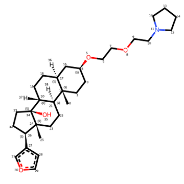 C[C@]12CC[C@H](OCCOCCN3CCCC3)C[C@@H]1CC[C@@H]1[C@@H]2CC[C@]2(C)[C@@H](c3ccoc3)CC[C@]12O